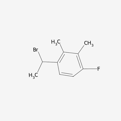 Cc1c(F)ccc(C(C)Br)c1C